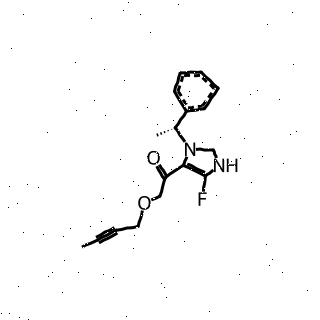 CC#CCOCC(=O)C1=C(F)NCN1[C@H](C)c1ccccc1